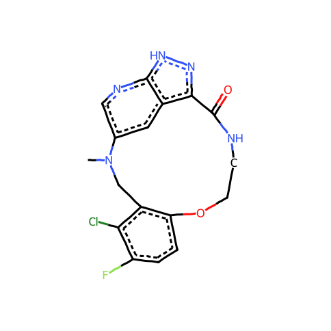 CN1Cc2c(ccc(F)c2Cl)OCCNC(=O)c2n[nH]c3ncc1cc23